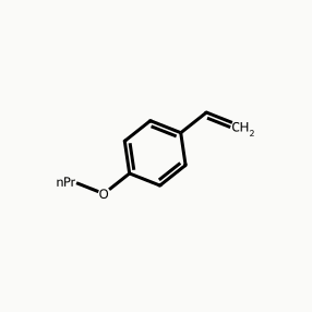 C=Cc1ccc(OCCC)cc1